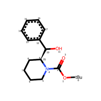 CC(C)(C)OC(=O)N1CCCC[C@H]1C(O)c1ccccc1